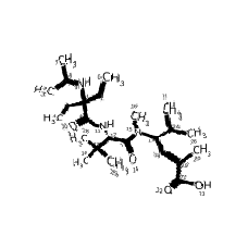 CCC(CC)(NC(C)C)C(=O)N[C@H](C(=O)N(C)[C@H](/C=C(\C)C(=O)O)C(C)C)C(C)(C)C